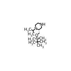 CC(C)N1CCNC[C@@H]1CO[Si](C)(C)C(C)(C)C